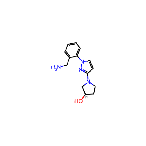 NCc1ccccc1-n1ccc(N2CC[C@@H](O)C2)n1